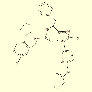 COC(=O)Nc1ccc(-c2nc(C(Cc3ccccc3)NC(=O)NCc3cc(Cl)ccc3N3CCCC3)[nH]c2Cl)cc1